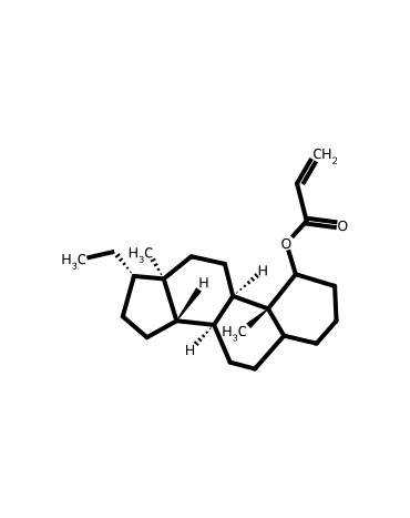 C=CC(=O)OC1CCCC2CC[C@@H]3[C@@H](CC[C@]4(C)[C@@H](CC)CC[C@@H]34)[C@@]21C